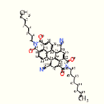 CCCCCCCCN1C(=O)c2ccc3c4c(C#N)cc5c6c(cc(C#N)c(c7ccc(c2c37)C1=O)c64)C(=O)N(CCCCCCCC)C5=O